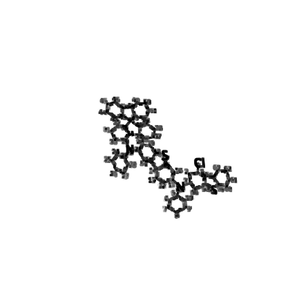 Clc1cc(N(c2ccccc2)c2ccc3c(c2)sc2ccc(N(c4ccccc4)c4cccc5c4-c4ccccc4C54c5ccccc5-c5ccccc54)cc23)cc2sc3ccccc3c12